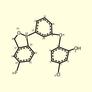 Oc1cc(Cl)ccc1Oc1cccc(B2OCc3cc(F)ccc32)c1